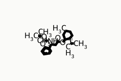 CC1CC[C@@H](C(C)C)C(OC(=O)CC(NC(=O)OC(C)(C)C)c2ccccc2)C1